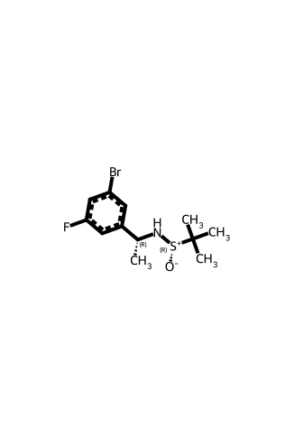 C[C@@H](N[S@@+]([O-])C(C)(C)C)c1cc(F)cc(Br)c1